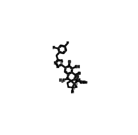 COC(=O)[C@@]12C[C@@H]1CCC21N(C)C(=O)c2c(O)c(=O)c(-c3nnc(Cc4ccc(F)cc4F)s3)cn2N1C